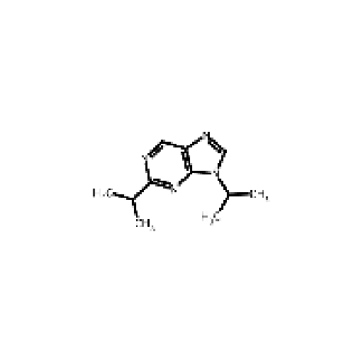 CC(C)c1ncc2ncn(C(C)C)c2n1